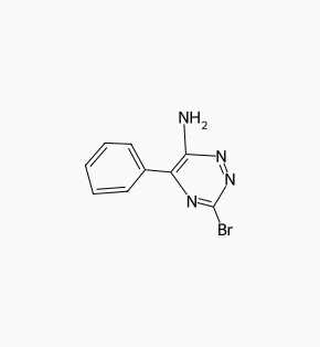 Nc1nnc(Br)nc1-c1ccccc1